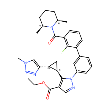 CCOC(=O)c1cnn(-c2cccc(-c3cccc(C(=O)N4[C@H](C)CCC[C@@H]4C)c3F)c2)c1[C@@H]1C[C@H]1c1cn(C)nn1